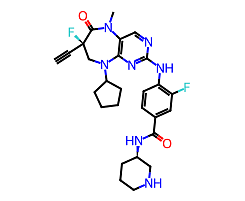 C#C[C@@]1(F)CN(C2CCCC2)c2nc(Nc3ccc(C(=O)N[C@@H]4CCCNC4)cc3F)ncc2N(C)C1=O